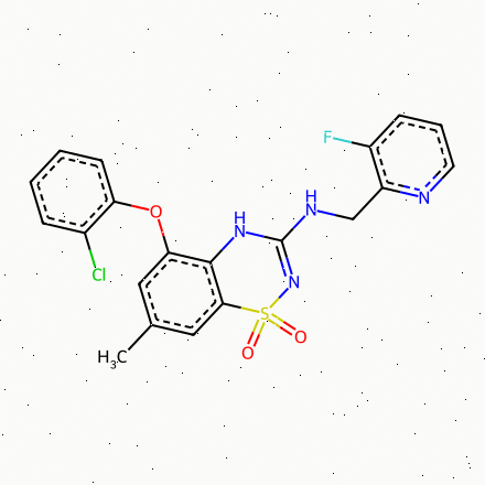 Cc1cc(Oc2ccccc2Cl)c2c(c1)S(=O)(=O)N=C(NCc1ncccc1F)N2